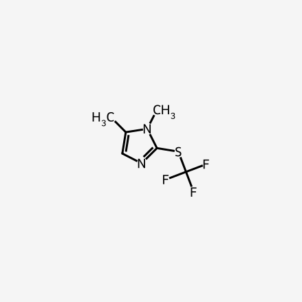 Cc1cnc(SC(F)(F)F)n1C